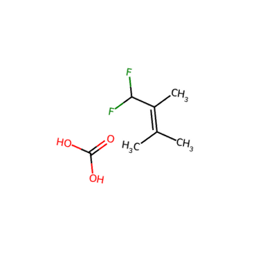 CC(C)=C(C)C(F)F.O=C(O)O